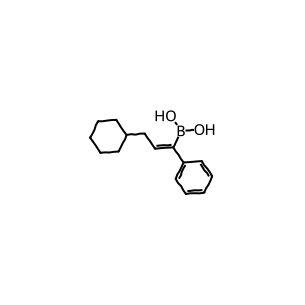 OB(O)/C(=C\CC1CCCCC1)c1ccccc1